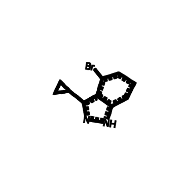 Brc1cccc2[nH]nc(C3CC3)c12